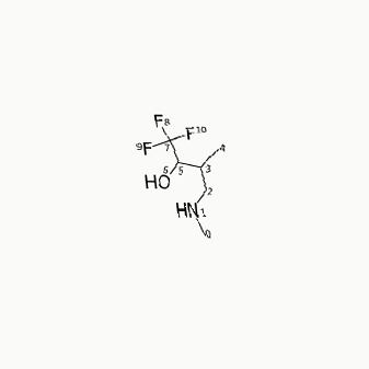 CNCC(C)C(O)C(F)(F)F